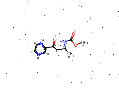 CC(C)(C)OC(=O)NC(CC(=O)c1cnccn1)C(F)(F)F